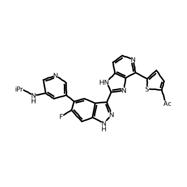 CC(=O)c1ccc(-c2nccc3[nH]c(-c4n[nH]c5cc(F)c(-c6cncc(NC(C)C)c6)cc45)nc23)s1